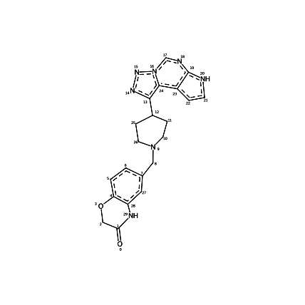 O=C1COc2ccc(CN3CCC(c4nnn5cnc6[nH]ccc6c45)CC3)cc2N1